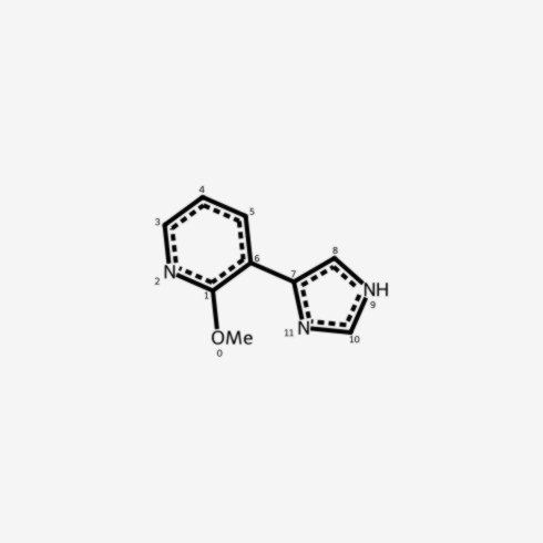 COc1ncccc1-c1c[nH]cn1